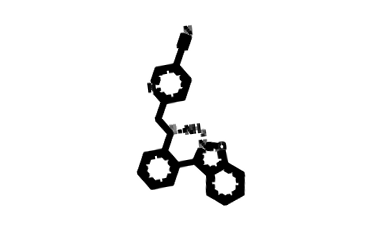 N#Cc1ccc(C[C@H](N)c2ccccc2-c2noc3ccccc23)nc1